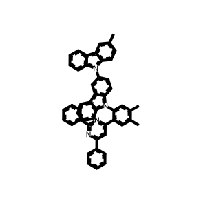 Cc1ccc2c(c1)c1ccccc1n2-c1ccc2c(c1)c1ccccc1n2-c1cc(C)c(C)cc1-c1cc(-c2ccccc2)nc(-c2ccccc2)n1